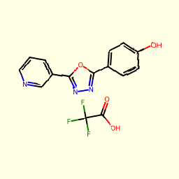 O=C(O)C(F)(F)F.Oc1ccc(-c2nnc(-c3cccnc3)o2)cc1